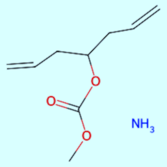 C=CCC(CC=C)OC(=O)OC.N